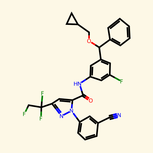 N#Cc1cccc(-n2nc(C(F)(F)CF)cc2C(=O)Nc2cc(F)cc(C(OCC3CC3)c3ccccc3)c2)c1